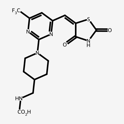 O=C(O)NCC1CCN(c2nc(C=C3SC(=O)NC3=O)cc(C(F)(F)F)n2)CC1